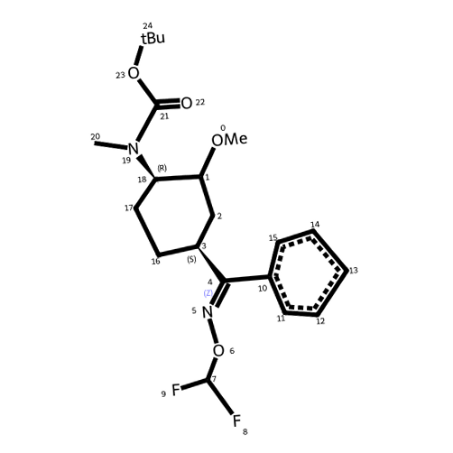 COC1C[C@@H](/C(=N/OC(F)F)c2ccccc2)CC[C@H]1N(C)C(=O)OC(C)(C)C